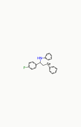 Fc1ccc(C(C[Se]c2ccccc2)Nc2ccccc2)cc1